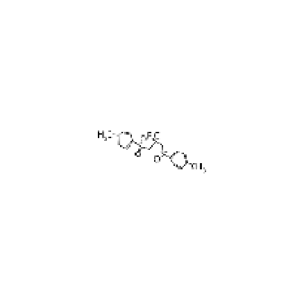 Cc1ccc([S+]([O-])CC(CS(=O)(=O)c2ccc(C)cc2)C(F)(F)F)cc1